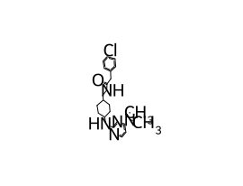 CN(C)c1ccnc(NC2CCC(CNC(=O)Cc3ccc(Cl)cc3)CC2)n1